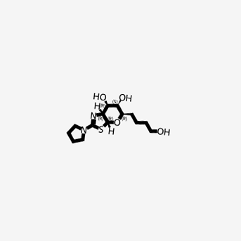 OCCCC[C@H]1O[C@@H]2SC(N3CCCC3)=N[C@@H]2[C@@H](O)[C@@H]1O